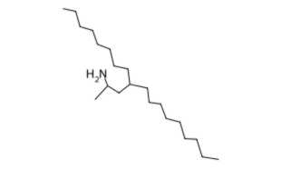 CCCCCCCCCC(CCCCCCCC)CC(C)N